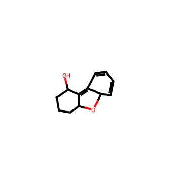 OC1CCCC2OC3C=CC=CC3=C12